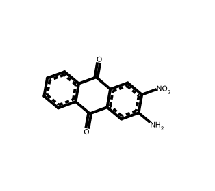 Nc1cc2c(cc1[N+](=O)[O-])C(=O)c1ccccc1C2=O